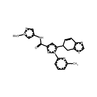 CSn1cc(NC(=O)c2cc(C3C=Cc4ncsc4C3)n(-c3cccc(C)n3)n2)cn1